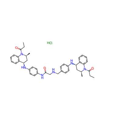 CCC(=O)N1c2ccccc2[C@H](Nc2ccc(CNCC(=O)Nc3ccc(N[C@@H]4C[C@H](C)N(C(=O)CC)c5ccccc54)cc3)cc2)C[C@@H]1C.Cl